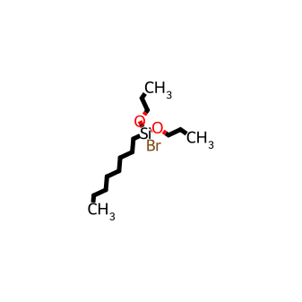 CCCCCCCC[Si](Br)(OCCC)OCCC